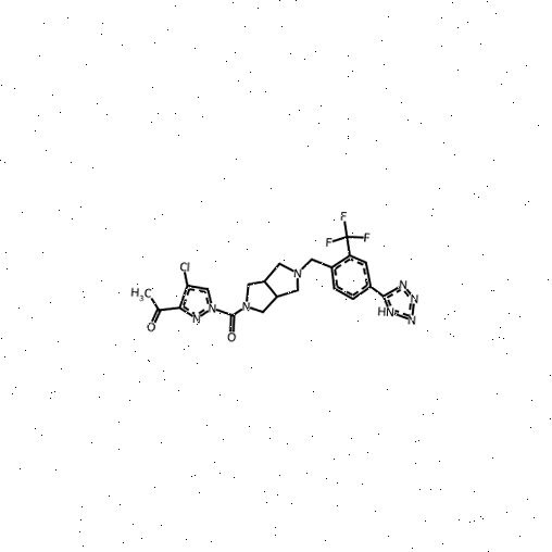 CC(=O)c1nn(C(=O)N2CC3CN(Cc4ccc(-c5nnn[nH]5)cc4C(F)(F)F)CC3C2)cc1Cl